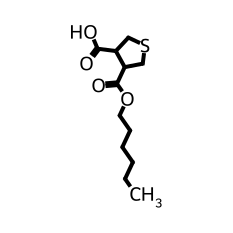 CCCCCCOC(=O)C1CSCC1C(=O)O